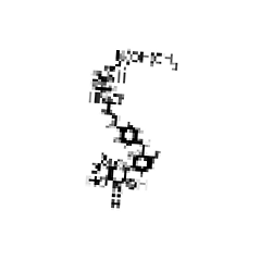 Cc1ccc([C@@H]2O[C@H]([S+](C)[O-])[C@@H](O)[C@H](O)[C@H]2O)cc1Cc1ccc(CCCC(=O)NC(C)(C)C(=O)NCCN(C)O)cc1